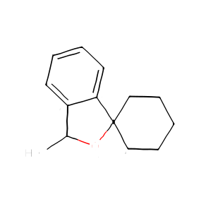 CC1OC2(CCCCC2)c2ccccc21